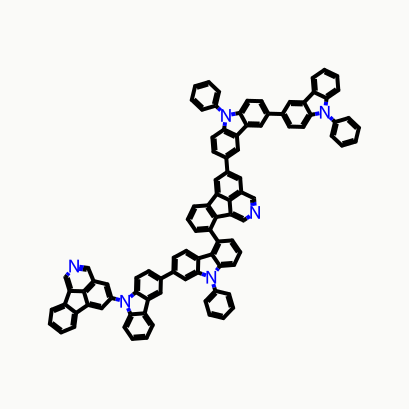 c1ccc(-n2c3ccccc3c3cc(-c4ccc5c(c4)c4cc(-c6cc7c8c(cncc8c6)-c6c-7cccc6-c6cccc7c6c6ccc(-c8ccc9c(c8)c8ccccc8n9-c8cc9c%10c(cncc%10c8)-c8ccccc8-9)cc6n7-c6ccccc6)ccc4n5-c4ccccc4)ccc32)cc1